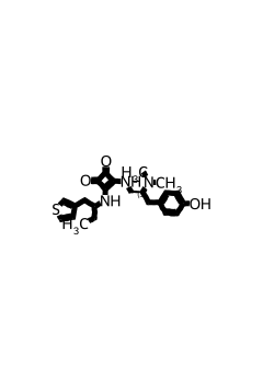 CCC(Cc1ccsc1)Nc1c(NC[C@H](Cc2ccc(O)cc2)N(C)C)c(=O)c1=O